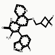 Nc1c(-c2ccc(F)c3[nH]ncc23)c2cc(OCC3CC(F)(F)C3)c3ncccc3c2[nH]c1=O